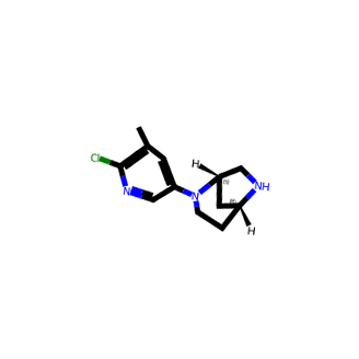 Cc1cc(N2CC[C@@H]3C[C@H]2CN3)cnc1Cl